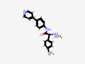 CNC(C(=O)Nc1ccc(-c2ccncc2)cc1)c1ccc(C)cc1